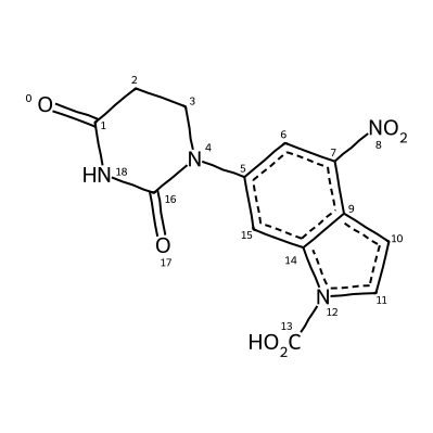 O=C1CCN(c2cc([N+](=O)[O-])c3ccn(C(=O)O)c3c2)C(=O)N1